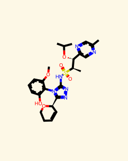 COc1cccc(O)c1-n1c(NS(=O)(=O)[C@H](C)[C@H](OC(C)C)c2cnc(C)cn2)nnc1[C@H]1C=CCCO1